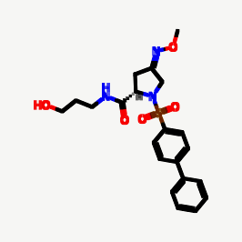 CON=C1C[C@@H](C(=O)NCCCO)N(S(=O)(=O)c2ccc(-c3ccccc3)cc2)C1